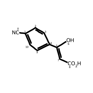 N#Cc1ccc(C(O)=CC(=O)O)cc1